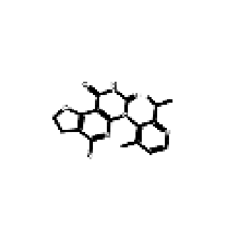 Cc1ccnc(C(C)C)c1-n1c(=O)[nH]c(=O)c2c3c(c(Cl)nc21)CCO3